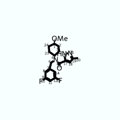 CO[C@H]1CC[C@H](N(Cc2cc(F)cc(F)c2)C(=O)c2cc(C)n[nH]2)CC1